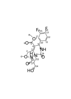 COCC1=C(C(=O)OC)C(c2ccc(F)c(F)c2)NC(=O)[N+]1(CCCO)NC=O